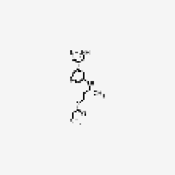 C=CC(=O)NCC[C@@H](C)Nc1cncc(/C(C=N)=C/N)c1